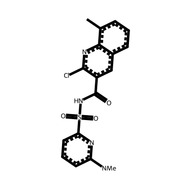 CNc1cccc(S(=O)(=O)NC(=O)c2cc3cccc(C)c3nc2Cl)n1